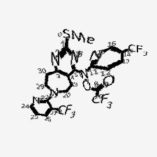 CSc1nc2c(c(N(OC(=O)C(F)(F)F)c3ccc(C(F)(F)F)cn3)n1)CCN(c1ncccc1C(F)(F)F)CC2